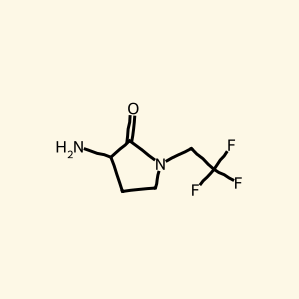 NC1CCN(CC(F)(F)F)C1=O